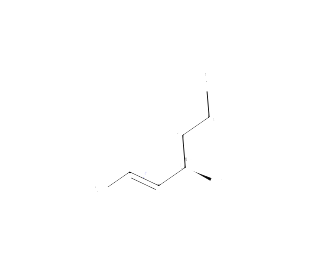 CC(=O)/C=C/[C@@H](CCC(C)=O)C(C)C